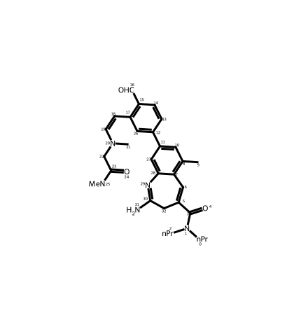 CCCN(CCC)C(=O)C1=Cc2c(C)cc(-c3ccc(C=O)c(/C=C\N(C)CC(=O)NC)c3)cc2N=C(N)C1